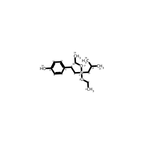 CCO[Si](CCc1ccc(O)cc1)(CC(C)C)OCC